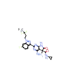 CC1(C(=O)NC2CC2)C(=O)Nc2nc(-c3nn(CCC(F)(F)C(F)(F)F)c4cc(F)ccc34)nc(N)c21